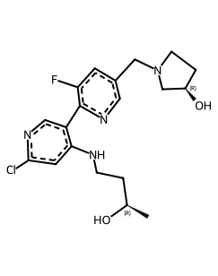 C[C@@H](O)CCNc1cc(Cl)ncc1-c1ncc(CN2CC[C@@H](O)C2)cc1F